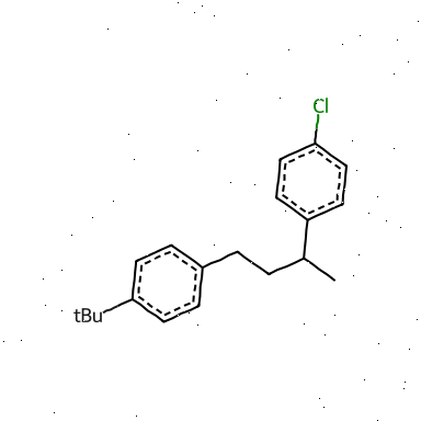 CC(CCc1ccc(C(C)(C)C)cc1)c1ccc(Cl)cc1